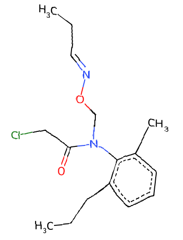 CC/C=N/OCN(C(=O)CCl)c1c(C)cccc1CCC